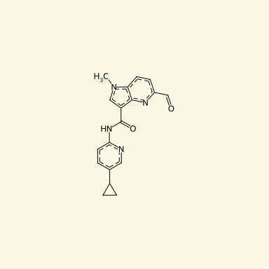 Cn1cc(C(=O)Nc2ccc(C3CC3)cn2)c2nc(C=O)ccc21